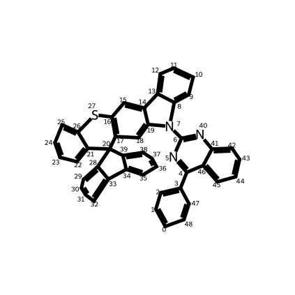 c1ccc(-c2nc(-n3c4ccccc4c4cc5c(cc43)C3(c4ccccc4S5)c4ccccc4-c4ccccc43)nc3ccccc23)cc1